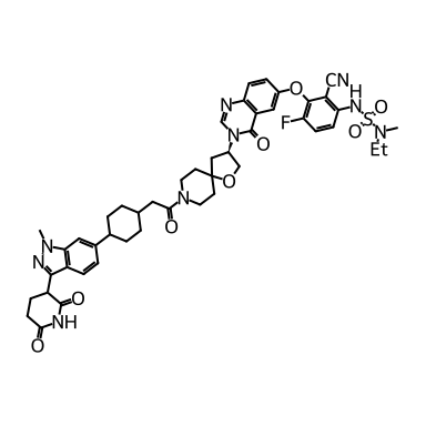 CCN(C)S(=O)(=O)Nc1ccc(F)c(Oc2ccc3ncn([C@H]4COC5(CCN(C(=O)CC6CCC(c7ccc8c(C9CCC(=O)NC9=O)nn(C)c8c7)CC6)CC5)C4)c(=O)c3c2)c1C#N